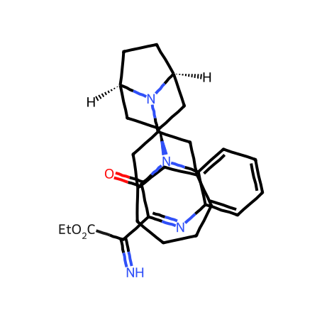 CCOC(=O)C(=N)c1nc2ccccc2n([C@H]2C[C@H]3CC[C@@H](C2)N3C2CC3CCCCC(C3)C2)c1=O